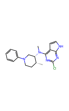 C[C@@H]1CCN(c2ccccc2)C[C@@H]1N(C)c1nc(Cl)nc2[nH]ccc12